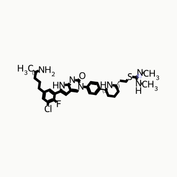 C/N=C(\NC)SCC[C@@H]1CCC[C@@H](c2ccc(-n3cc4cc(-c5cc(CCC[C@H](C)N)cc(Cl)c5F)[nH]c4nc3=O)cc2)N1